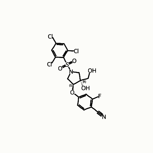 N#Cc1ccc(O[C@H]2CN(S(=O)(=O)c3c(Cl)cc(Cl)cc3Cl)C[C@@]2(O)CO)cc1F